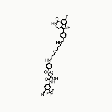 C[C@](O)(CS(=O)(=O)c1ccc(NCCCOCCCNCc2ccc(-c3[nH]c4cc(F)cc5c4c3CCNC5=O)cc2)cc1)C(=O)Nc1ccc(C#N)c(C(F)(F)F)c1